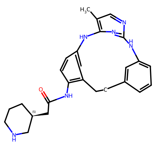 Cc1cnc2nc1Nc1ccc(NC(=O)C[C@@H]3CCCNC3)c(c1)CCc1cccc(c1)N2